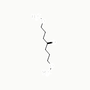 COCCCC(=O)CCCOC